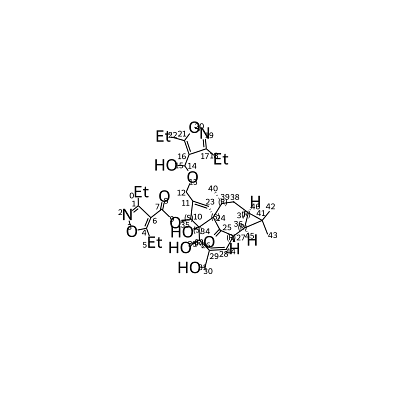 CCc1noc(CC)c1C(=O)O[C@H]1C(COC(O)c2c(CC)noc2CC)=C[C@]23C(=O)[C@@H](C=C(CO)[C@@H](O)[C@]12O)[C@H]1[C@@H](C[C@H]3C)C1(C)C